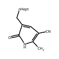 CCCCCCCCc1cc(C#N)c(C)[nH]c1=O